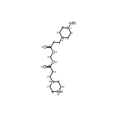 CCCN1CCN(CCC(=O)OCOC(=O)CCN2CCNCC2)CC1